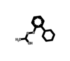 CC(O)OOc1ccccc1C1CCCCC1